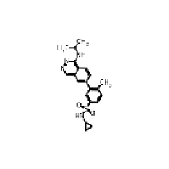 Cc1ccc(S(=O)(=O)NC2CC2)cc1-c1ccc2c(NC(C)C)nncc2c1